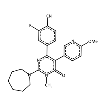 COc1ccc(-c2c(-c3ccc(C#N)c(F)c3)nc(N3CCCCCC3)n(C)c2=O)cn1